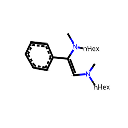 CCCCCCN(C)[C]=C(c1[c]cccc1)N(C)CCCCCC